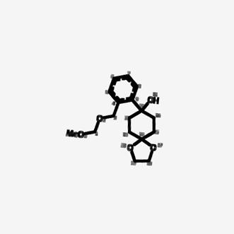 COCOCc1ccccc1C1(O)CCC2(CC1)OCCO2